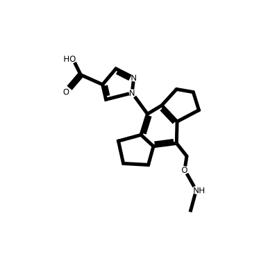 CNOCc1c2c(c(-n3cc(C(=O)O)cn3)c3c1CCC3)CCC2